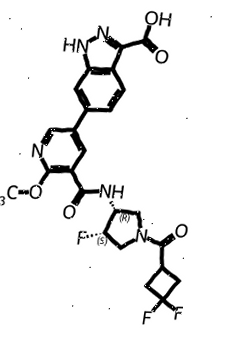 COc1ncc(-c2ccc3c(C(=O)O)n[nH]c3c2)cc1C(=O)N[C@@H]1CN(C(=O)C2CC(F)(F)C2)C[C@@H]1F